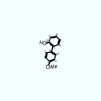 COc1ccc(-c2[c]cccc2O)cc1